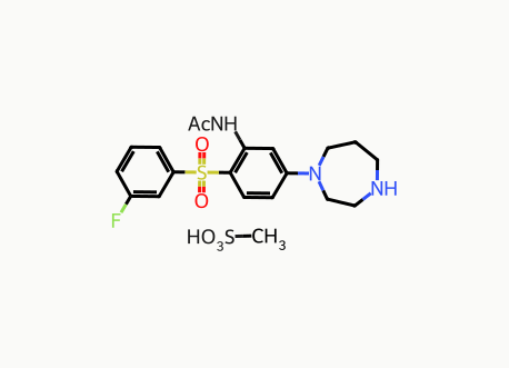 CC(=O)Nc1cc(N2CCCNCC2)ccc1S(=O)(=O)c1cccc(F)c1.CS(=O)(=O)O